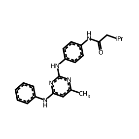 Cc1cc(Nc2ccccc2)nc(Nc2ccc(NC(=O)CC(C)C)cc2)n1